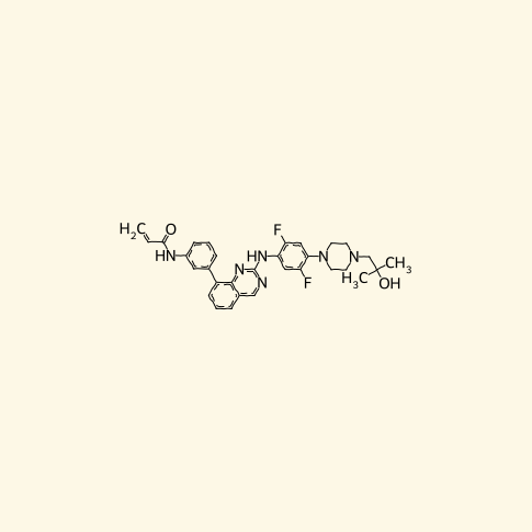 C=CC(=O)Nc1cccc(-c2cccc3cnc(Nc4cc(F)c(N5CCN(CC(C)(C)O)CC5)cc4F)nc23)c1